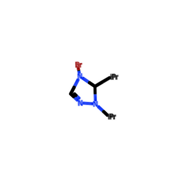 CC(C)C1N(Br)C=NN1C(C)C